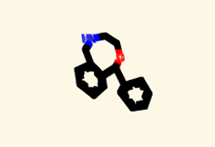 c1ccc(C2OCCNCc3ccccc32)cc1